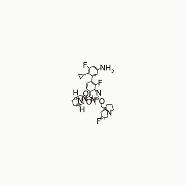 CC(C)(C)OC(=O)N1[C@@H]2CC[C@H]1CN(c1nc(OC[C@@]34CCCN3C[C@H](F)C4)nc3c(F)c(-c4cc(N)cc(F)c4C4CC4)ccc13)C2